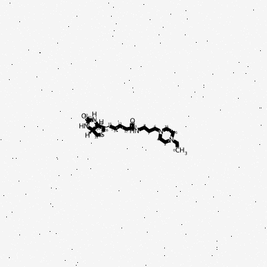 CCN1CCN(CCCNC(=O)CCCC[C@@H]2SC[C@@H]3NC(=O)N[C@@H]32)CC1